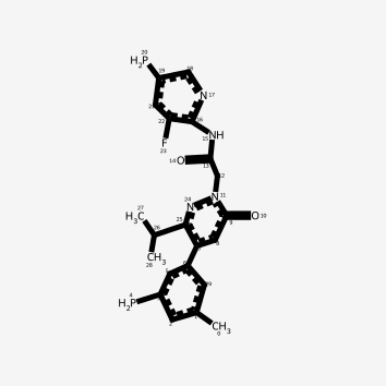 Cc1cc(P)cc(-c2cc(=O)n(CC(=O)Nc3ncc(P)cc3F)nc2C(C)C)c1